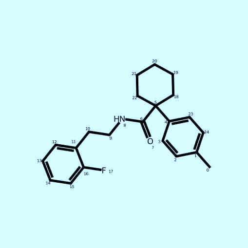 Cc1ccc(C2(C(=O)NCCc3ccccc3F)CCCCC2)cc1